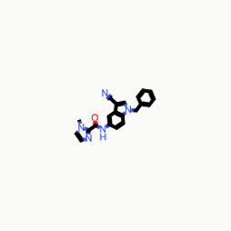 Cn1ccnc1C(=O)Nc1ccc2c(c1)c(C#N)cn2Cc1ccccc1